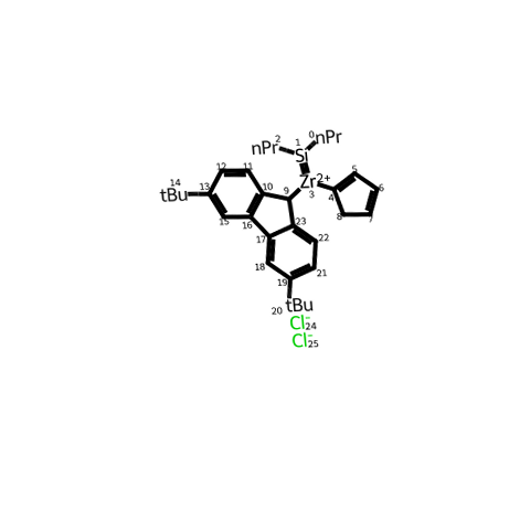 CCC[Si](CCC)=[Zr+2]([C]1=CC=CC1)[CH]1c2ccc(C(C)(C)C)cc2-c2cc(C(C)(C)C)ccc21.[Cl-].[Cl-]